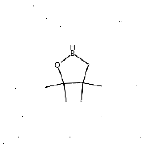 CC1(C)CBOC1(C)C